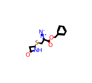 [N-]=[N+]=C(CS[C@@H]1CC(=O)N1)C(=O)OCc1ccccc1